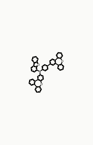 c1ccc2c(c1)Oc1ccc(N(c3ccc(-c4ccc5c(c4)-c4ccccc4Oc4ccccc4-5)cc3)c3cccc4c3oc3ccccc34)cc1-c1ccccc1-2